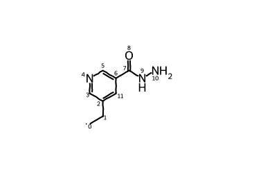 [CH2]Cc1cncc(C(=O)NN)c1